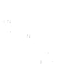 Cc1c[c]c2c3c(C(N)=O)cccc3n(Cc3cccc(OC(F)F)c3)c2c1